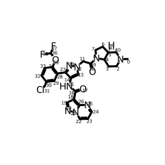 CN1CCC2[C@@H](CCN2C(=O)Cn2cc(NC(=O)c3cnn4cccnc34)c(-c3cc(Cl)ccc3OC(F)F)n2)C1